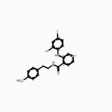 O=C(O)c1ccc(CCNC(=O)c2ccncc2Nc2ccc(I)cc2F)cc1